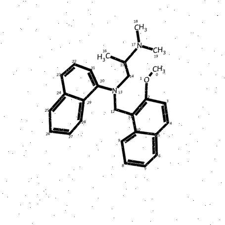 COc1ccc2ccccc2c1CN(CC(C)N(C)C)c1cccc2ccccc12